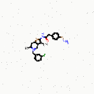 CCC1Cc2sc(NC(=O)Cc3ccc(SN)cc3)c(C#N)c2CN1Cc1cccc(F)c1